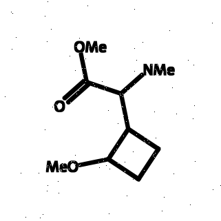 CNC(C(=O)OC)C1CCC1OC